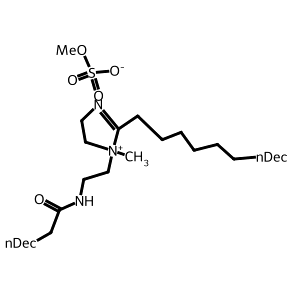 CCCCCCCCCCCCCCCCC1=NCC[N+]1(C)CCNC(=O)CCCCCCCCCCC.COS(=O)(=O)[O-]